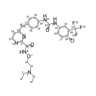 CCN(CC)CCONC(=O)c1nccc(Sc2ccc(NC(=O)Nc3ccc(Cl)c(C(F)(F)F)c3)cc2)n1